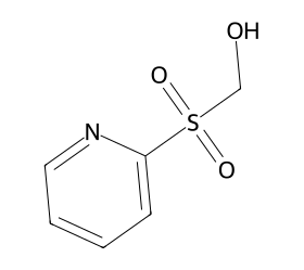 O=S(=O)(CO)c1ccccn1